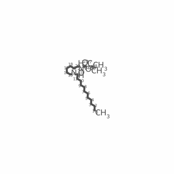 CCCCCCCCCCCCC(=O)N1CCCCC1CNC(=O)OC(C)(C)C